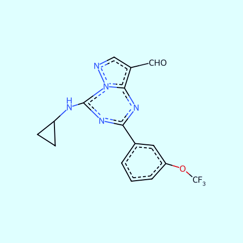 O=Cc1cnn2c(NC3CC3)nc(-c3cccc(OC(F)(F)F)c3)nc12